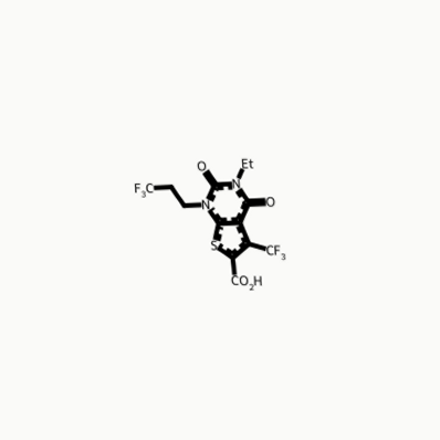 CCn1c(=O)c2c(C(F)(F)F)c(C(=O)O)sc2n(CCC(F)(F)F)c1=O